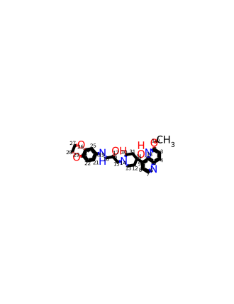 COc1ccc2nccc(C3(O)CCN(CC(O)CNc4ccc5c(c4)OCCO5)CC3)c2n1